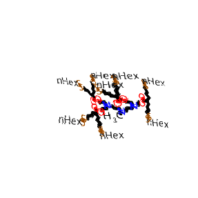 CCCCCCSSCCCCC(CCCCSSCCCCCC)C(=O)OCCN(CCCN(C)CCCN(CCOC(=O)C(CCCCSSCCCCCC)CCCCSSCCCCCC)CCOC(=O)C(CCCCSSCCCCCC)CCCCSSCCCCCC)CCOC(=O)C(CCCCSSCCCCCC)CCCCSSCCCCCC